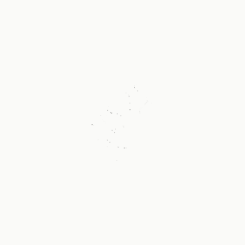 CC(=O)N(C)n1cc(-c2cccnc2)nc1C